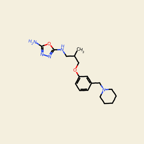 CC(CNc1nnc(N)o1)COc1cccc(CN2CCCCC2)c1